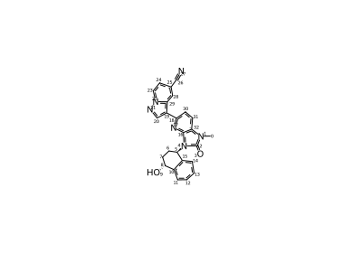 Cn1c(=O)n([C@@H]2CC[C@@H](O)c3ccccc32)c2nc(-c3cnn4ccc(C#N)cc34)ccc21